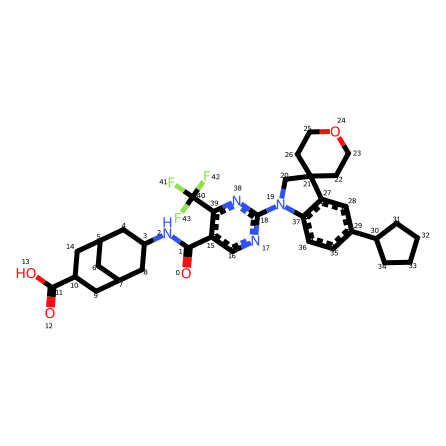 O=C(NC1CC2CC(C1)CC(C(=O)O)C2)c1cnc(N2CC3(CCOCC3)c3cc(C4CCCC4)ccc32)nc1C(F)(F)F